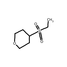 CCS(=O)(=O)C1CCOCC1